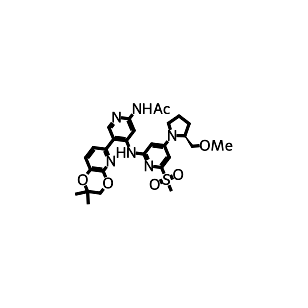 COC[C@@H]1CCCN1c1cc(Nc2cc(NC(C)=O)ncc2-c2ccc3c(n2)OCC(C)(C)O3)nc(S(C)(=O)=O)c1